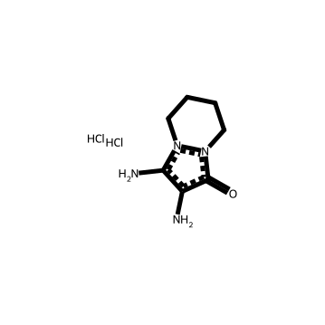 Cl.Cl.Nc1c(N)n2n(c1=O)CCCC2